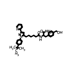 CC(C)(C)c1ccc(-n2nc(-c3ccccn3)cc2CCCCCC(=O)NC(Cc2ccc(CO)cc2)C(N)=O)cc1